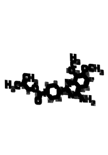 C=C(C)COC(=O)N1CCN(c2nc(N)c3ccc(OC)c(OC)c3n2)CC1